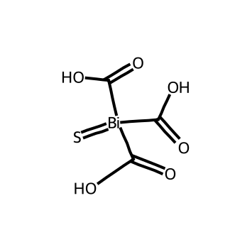 O=[C](O)[Bi](=[S])([C](=O)O)[C](=O)O